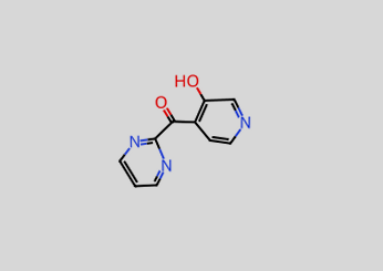 O=C(c1ncccn1)c1ccncc1O